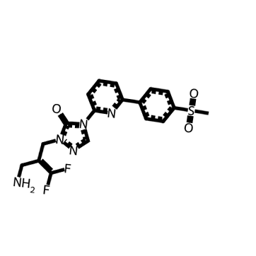 CS(=O)(=O)c1ccc(-c2cccc(-n3cnn(CC(CN)=C(F)F)c3=O)n2)cc1